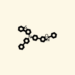 c1ccc(-c2ccc(N(c3ccc(-c4ccc5nc(-c6ccccc6)oc5c4)cc3)c3ccc4sc5ccccc5c4c3)cc2)cc1